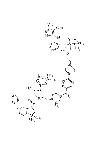 Cc1n[nH]c(Nc2ncnc3cc(OCCN4CCN(c5ncc(C(=O)N6CCN(CC7CN(C(=O)OC(C)(C)C)C(C)CN7CC(=O)N7CC(C)(C)c8ncc(Cc9ccc(F)cc9)cc87)[C@H](C)C6)cn5)CC4)c(S(=O)(=O)C(C)(C)C)cc23)c1C